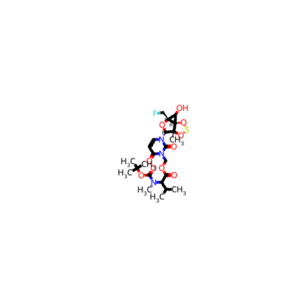 CC(C)C(C(=O)OCn1c(=O)ccn([C@@H]2O[C@]3(CF)C(O)[C@@]34OSO[C@@]24C)c1=O)N(C)C(=O)OC(C)(C)C